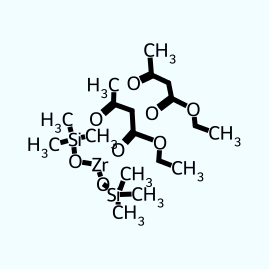 CCOC(=O)CC(C)=O.CCOC(=O)CC(C)=O.C[Si](C)(C)[O][Zr][O][Si](C)(C)C